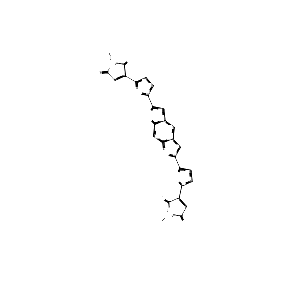 CN1C(=O)C=C(c2ccc(-c3cc4cc5cc(-c6ccc(C7=CC(=O)N(C)C7=O)s6)sc5cc4s3)s2)C1=O